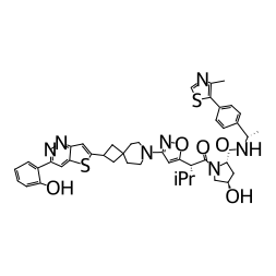 Cc1ncsc1-c1ccc([C@H](C)NC(=O)[C@@H]2C[C@@H](O)CN2C(=O)[C@@H](c2cc(N3CCC4(CC3)CC(c3cc5nnc(-c6ccccc6O)cc5s3)C4)no2)C(C)C)cc1